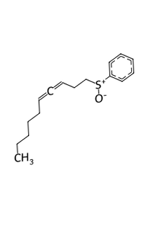 CCCCCC=C=CCC[S+]([O-])c1ccccc1